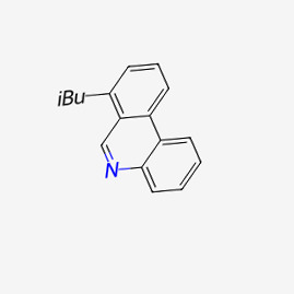 CCC(C)c1cccc2c1cnc1ccccc12